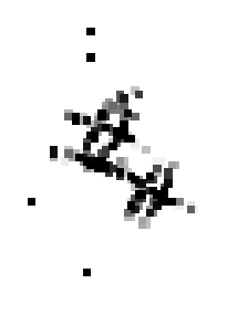 CC#N.O=S(=O)([O-])C(F)(F)F.O=S(=O)([O-])C(F)(F)F.[Ni+2]